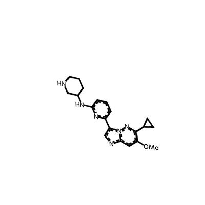 COc1cc2ncc(-c3cccc(NC4CCCNC4)n3)n2nc1C1CC1